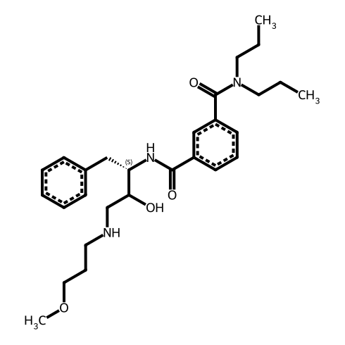 CCCN(CCC)C(=O)c1cccc(C(=O)N[C@@H](Cc2ccccc2)C(O)CNCCCOC)c1